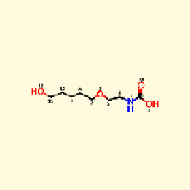 O=C(O)NCCOCCCCCO